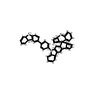 C1=CC2Sc3ccc(-c4ccc(-n5c6ccccc6c6cc7c(cc65)C5(c6ccccc6Sc6ccccc65)c5ccccc5-7)cc4)cc3C2C=C1